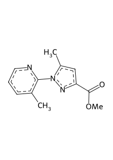 COC(=O)c1cc(C)n(-c2ncccc2C)n1